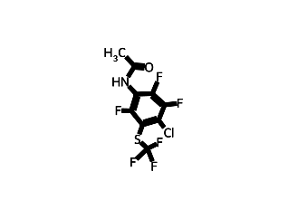 CC(=O)Nc1c(F)c(F)c(Cl)c(SC(F)(F)F)c1F